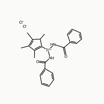 CC1=C(C)C(C)[C]([Ti+2]([NH]C(=O)c2ccccc2)[NH]C(=O)c2ccccc2)=C1C.[Cl-].[Cl-]